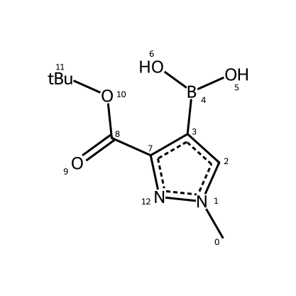 Cn1cc(B(O)O)c(C(=O)OC(C)(C)C)n1